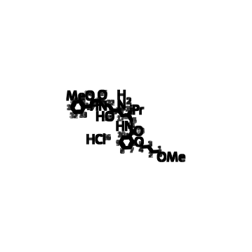 COCCCCOc1ccccc1C(=O)NCC(CC(N)C(O)CNC(=O)C(Cc1ccccc1)OC)C(C)C.Cl